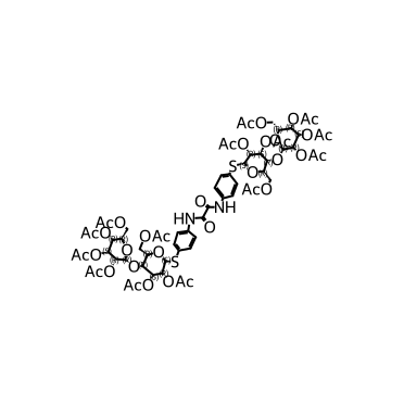 CC(=O)OC[C@H]1O[C@@H](Sc2ccc(NC(=O)C(=O)Nc3ccc(S[C@@H]4O[C@H](COC(C)=O)[C@@H](O[C@H]5O[C@H](COC(C)=O)[C@@H](OC(C)=O)[C@H](OC(C)=O)[C@H]5OC(C)=O)[C@H](OC(C)=O)[C@H]4OC(C)=O)cc3)cc2)[C@H](OC(C)=O)[C@@H](OC(C)=O)[C@@H]1O[C@H]1O[C@H](COC(C)=O)[C@@H](OC(C)=O)[C@H](OC(C)=O)[C@H]1OC(C)=O